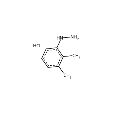 Cc1cccc(NN)c1C.Cl